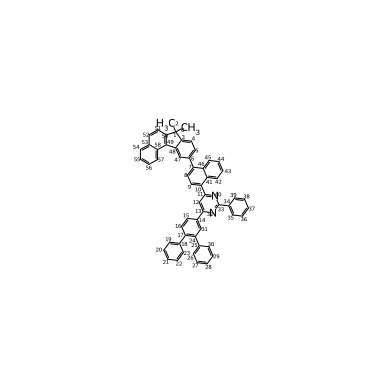 CC1(C)c2ccc(-c3ccc(-c4cc(-c5ccc(-c6ccccc6)c(-c6ccccc6)c5)nc(-c5ccccc5)n4)c4ccccc34)cc2-c2c1ccc1ccccc21